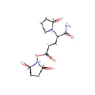 NC(=O)[C@@H](CCC(=O)ON1C(=O)CCC1=O)N1CCCC1=O